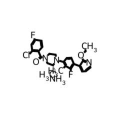 CCOc1ncccc1-c1ccc(N2CCN(C(=O)c3ccc(F)cc3Cl)C[C@H]2CC)c(C)c1F.N